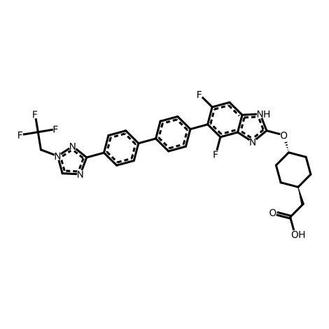 O=C(O)C[C@H]1CC[C@H](Oc2nc3c(F)c(-c4ccc(-c5ccc(-c6ncn(CC(F)(F)F)n6)cc5)cc4)c(F)cc3[nH]2)CC1